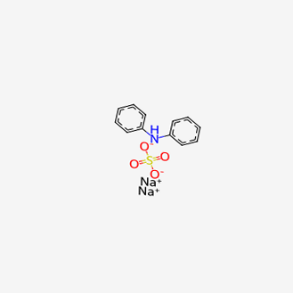 O=S(=O)([O-])[O-].[Na+].[Na+].c1ccc(Nc2ccccc2)cc1